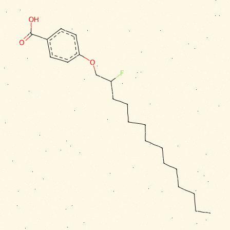 CCCCCCCCCCCCC(F)COc1ccc(C(=O)O)cc1